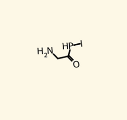 NCC(=O)PI